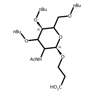 CCCCOCC1O[C@@H](OCCC(=O)O)C(NC(C)=O)C(OCCCC)[C@H]1OCCCC